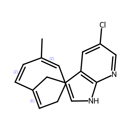 CC1=C/CC/C=C(Cc2c[nH]c3ncc(Cl)cc23)/C=C\1